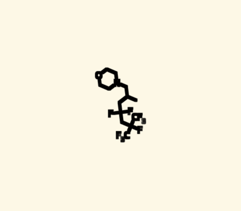 CC(CN1CCOCC1)CC(F)(F)CC(F)(C(F)(F)F)C(F)(F)F